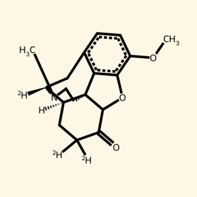 [2H]C1([2H])C[C@@H]2[C@@]34CCN(C)[C@]2([2H])Cc2ccc(OC)c(c23)OC4C1=O